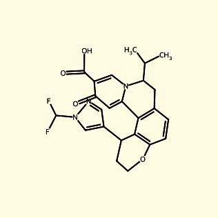 CC(C)C1Cc2ccc3c(c2-c2cc(=O)c(C(=O)O)cn21)C(c1cnn(C(F)F)c1)CCO3